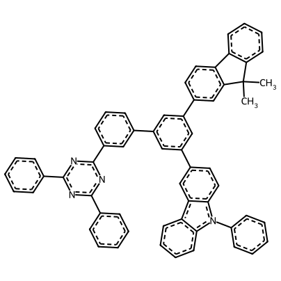 CC1(C)c2ccccc2-c2ccc(-c3cc(-c4cccc(-c5nc(-c6ccccc6)nc(-c6ccccc6)n5)c4)cc(-c4ccc5c(c4)c4ccccc4n5-c4ccccc4)c3)cc21